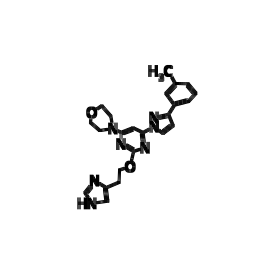 Cc1cccc(-c2ccn(-c3cc(N4CCOCC4)nc(OCCc4c[nH]cn4)n3)n2)c1